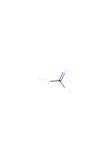 CNC(=N)C#N